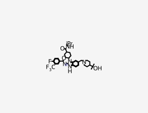 CC(C)NC(=O)C1CCC(n2/c(=N\C(=O)c3ccc(F)c(C(F)(F)F)c3)[nH]c3ccc(CN4CCC(C(C)(C)O)CC4)cc32)CC1